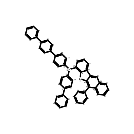 c1ccc(-c2ccc(-c3ccc(N(c4ccc(-c5ccccc5)cc4)c4cccc5c4oc4c(-c6ccccc6)c6ccccc6cc45)cc3)cc2)cc1